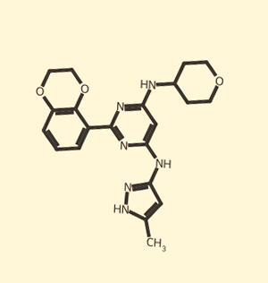 Cc1cc(Nc2cc(NC3CCOCC3)nc(-c3cccc4c3OCCO4)n2)n[nH]1